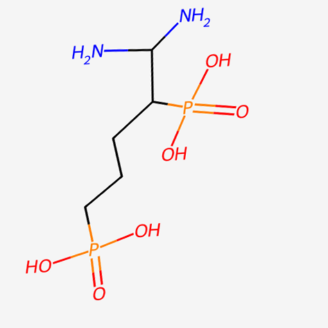 NC(N)C(CCCP(=O)(O)O)P(=O)(O)O